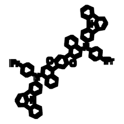 CC(C)c1ccc(N(c2ccc3c(c2)c2cccc4c5ccccc5n3c42)c2cc3oc4cc5c(cc4c3c3ccccc23)oc2cc(N(c3ccc(C(C)C)cc3)c3ccc4c(c3)c3cccc6c7ccccc7n4c63)c3ccccc3c25)cc1